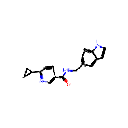 O=C(NCc1ccc2[nH]ccc2c1)c1ccc(C2CC2)nc1